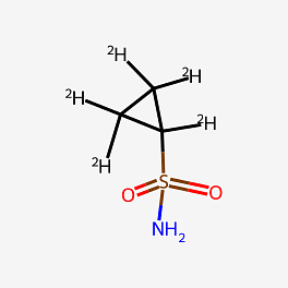 [2H]C1([2H])C([2H])([2H])C1([2H])S(N)(=O)=O